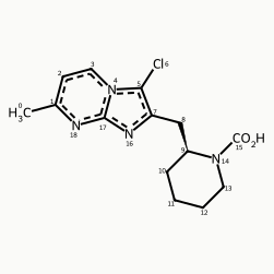 Cc1ccn2c(Cl)c(C[C@@H]3CCCCN3C(=O)O)nc2n1